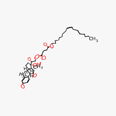 CCCCCCC/C=C\CCCCCCCCOC(=O)CCC(=O)OCC(=O)[C@@]1(O)CC[C@H]2[C@@H]3CCC4=CC(=O)C=C[C@]4(C)[C@H]3C(=O)C[C@@]21C